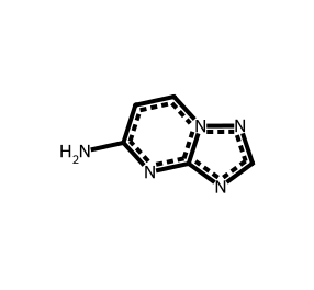 Nc1ccn2ncnc2n1